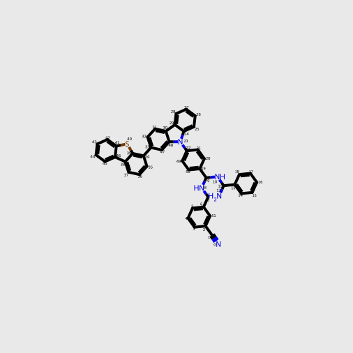 N#Cc1cccc(CNC(NC(N)c2ccccc2)c2ccc(-n3c4ccccc4c4ccc(-c5cccc6c5sc5ccccc56)cc43)cc2)c1